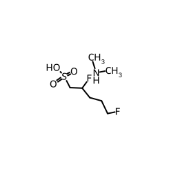 CNC.O=S(=O)(O)CC(F)CCCF